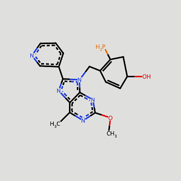 COc1nc(C)c2nc(-c3cccnc3)n(CC3=C(P)CC(O)C=C3)c2n1